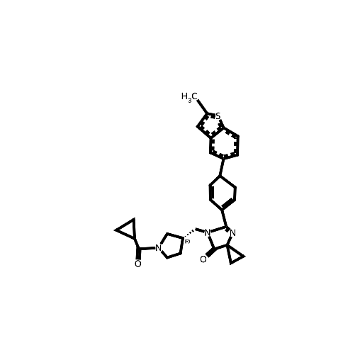 Cc1cc2cc(C3C=CC(C4=NC5(CC5)C(=O)N4C[C@@H]4CCN(C(=O)C5CC5)C4)=CC3)ccc2s1